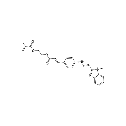 C=C(C)C(=O)OCCOC(=O)/C=C/c1ccc(N/C=C/C2=Nc3ccccc3C2(C)C)cc1